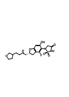 O=C1CN(c2c(O)cc3c(c2F)C[C@H](CNCCC2CCOC2)O3)S(=O)(=O)N1